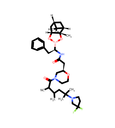 CC(CC(C)(C)N1CCC(F)(F)C1)C(C#N)C(=O)N1CCO[C@H](CC(=O)N[C@@H](Cc2ccccc2)B2O[C@@H]3C[C@@H]4C[C@@H](C4(C)C)[C@]3(C)O2)C1